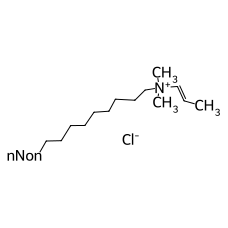 CC=C[N+](C)(C)CCCCCCCCCCCCCCCCCC.[Cl-]